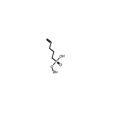 C=CCCCP(=O)(O)OC(C)CC